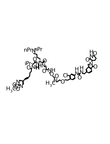 CCCN(CCC)CCCC[C@H](NC(=O)[C@@H](NC(=O)CCCC#Cc1cnc(S(C)(=O)=O)nc1)C(C)C)C(=O)NCC(=O)NCOCC(=O)N(C)CCOCCc1ccc(NC(=O)NCc2ccc3c(c2)CN(C2CCC(=O)NC2=O)C3=O)cc1Cl